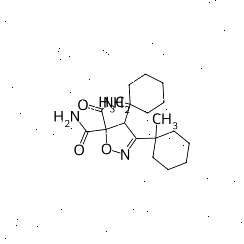 CC1(C2=NOC(C(N)=O)(C(N)=O)C2C2(C)CCCCC2)CCCCC1